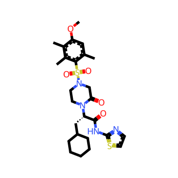 COc1cc(C)c(S(=O)(=O)N2CCN([C@@H](CC3CCCCC3)C(=O)Nc3nccs3)C(=O)C2)c(C)c1C